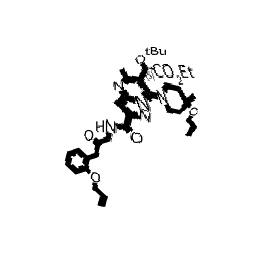 C=CCOc1ccccc1CC(=O)CNC(=O)c1cc2nc(C)c([C@H](OC(C)(C)C)C(=O)OCC)c(N3CCC(C)(OCC=C)CC3)n2n1